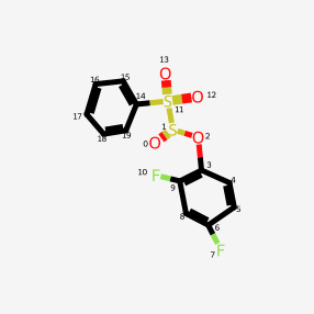 O=S(Oc1ccc(F)cc1F)S(=O)(=O)c1ccccc1